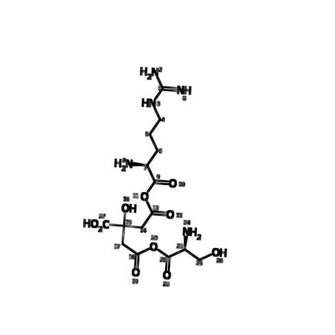 N=C(N)NCCC[C@H](N)C(=O)OC(=O)CC(O)(CC(=O)OC(=O)[C@@H](N)CO)C(=O)O